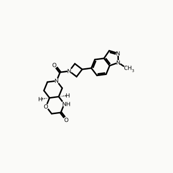 Cn1ncc2cc(C3CN(C(=O)N4CC[C@@H]5OCC(=O)N[C@@H]5C4)C3)ccc21